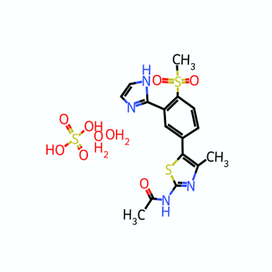 CC(=O)Nc1nc(C)c(-c2ccc(S(C)(=O)=O)c(-c3ncc[nH]3)c2)s1.O.O.O=S(=O)(O)O